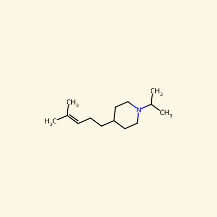 CC(C)=CCCC1CCN(C(C)C)CC1